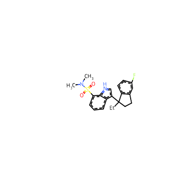 CCC1(c2c[nH]c3c(S(=O)(=O)N(C)C)cccc23)CCc2cc(F)ccc21